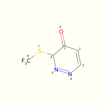 O=C1C=CN=NC1SC(F)(F)F